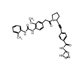 COc1cc(CC(=O)N2CCCC2C#Cc2ccc(C(=O)Nc3nnn[nH]3)cc2)ccc1NC(=O)Nc1ccccc1C